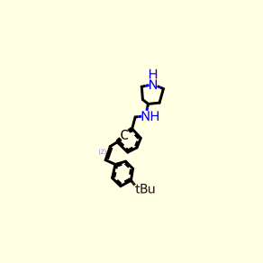 CC(C)(C)c1ccc(/C=C\c2cccc(CNC3CCNCC3)c2)cc1